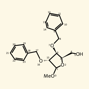 COC1O[C@H](CO)[C@H](OCc2ccccc2)[C@H]1OCc1ccccc1